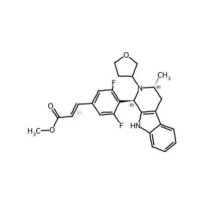 COC(=O)/C=C/c1cc(F)c([C@@H]2c3[nH]c4ccccc4c3C[C@@H](C)N2C2CCOC2)c(F)c1